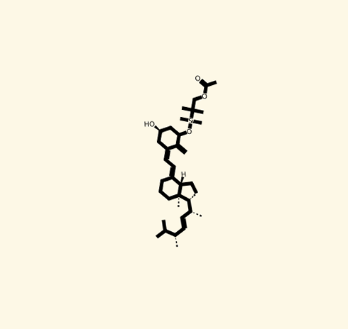 C=C1/C(=C\C=C2/CCC[C@]3(C)[C@@H]([C@H](C)/C=C/[C@H](C)C(C)C)CC[C@@H]23)C[C@@H](O)CC1O[Si](C)(C)C(C)(C)COC(C)=O